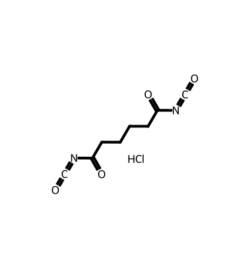 Cl.O=C=NC(=O)CCCCC(=O)N=C=O